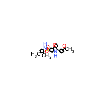 CC(=O)c1cccc(C2Nc3ccc(S(=O)(=O)Nc4ccc(C)c(C)c4)cc3C3OCCC23)c1